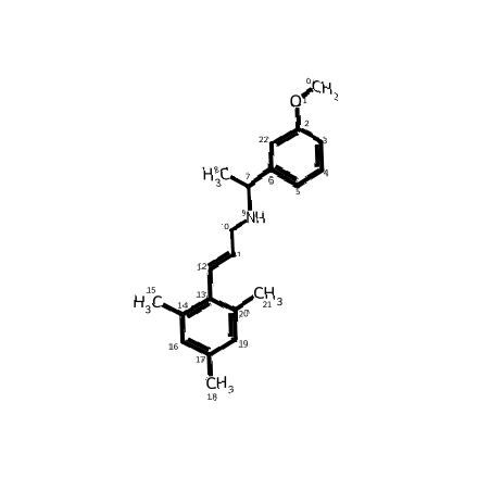 COc1cccc(C(C)NCC=Cc2c(C)cc(C)cc2C)c1